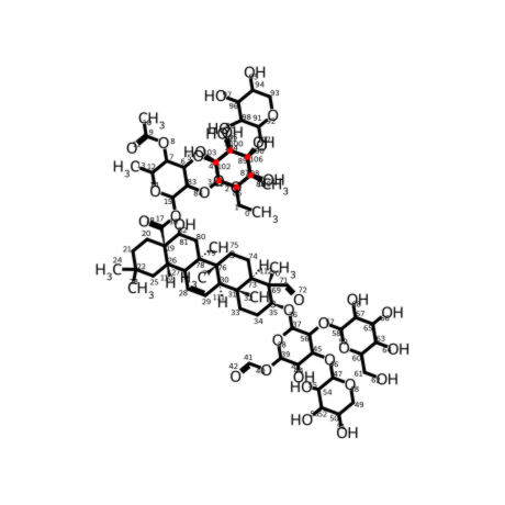 CCC1OC(OC2C(OC(C)=O)C(C)OC(OC(=O)[C@]34CCC(C)(C)C[C@H]3C3C=C[C@@H]5[C@@]6(C)CC[C@H](OC7OC(OC=O)C(O)C(OC8OCC(O)C(O)C8O)C7OC7OC(CO)C(O)C(O)C7O)[C@@](C)(C=O)[C@@H]6CC[C@@]5(C)[C@]3(C)C[C@H]4O)C2OC2OC(C)C(OC3OCC(O)C(O)C3O)C(O)C2O)C(O)C(O)C1O